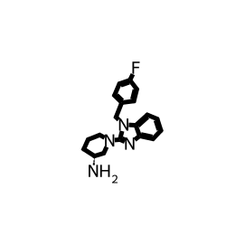 N[C@@H]1CCCN(c2nc3ccccc3n2Cc2ccc(F)cc2)C1